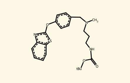 CN(CCCNC(=O)OC(C)(C)C)Cc1ccc(Oc2nc3ccccc3s2)cc1